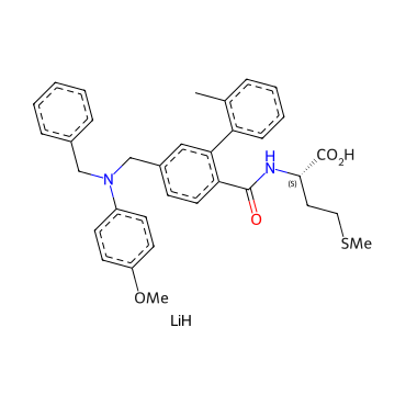 COc1ccc(N(Cc2ccccc2)Cc2ccc(C(=O)N[C@@H](CCSC)C(=O)O)c(-c3ccccc3C)c2)cc1.[LiH]